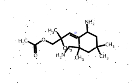 CC(=O)OCC(C)(C)/C=C1/C(N)CC(C)(C)CC1(C)CN